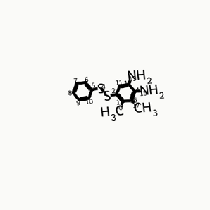 Cc1c(SSc2ccccc2)cc(N)c(N)c1C